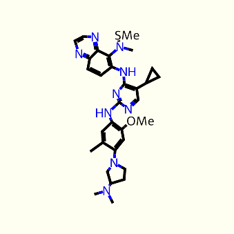 COc1cc(N2CCC(N(C)C)C2)c(C)cc1Nc1ncc(C2CC2)c(Nc2ccc3nccnc3c2N(C)SC)n1